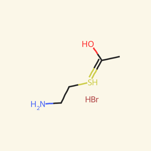 Br.CC(O)=[SH]CCN